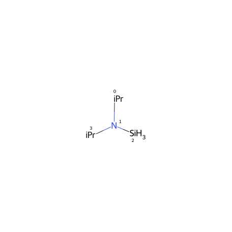 CC(C)N([SiH3])C(C)C